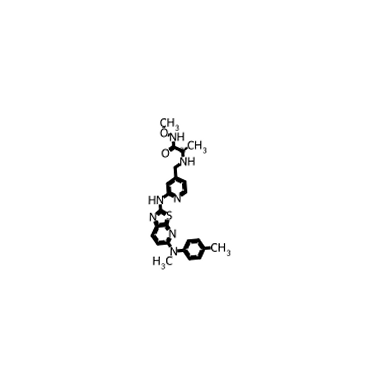 CONC(=O)[C@@H](C)NCc1ccnc(Nc2nc3ccc(N(C)c4ccc(C)cc4)nc3s2)c1